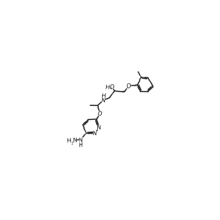 Cc1ccccc1OCC(O)CNC(C)Oc1ccc(NN)nn1